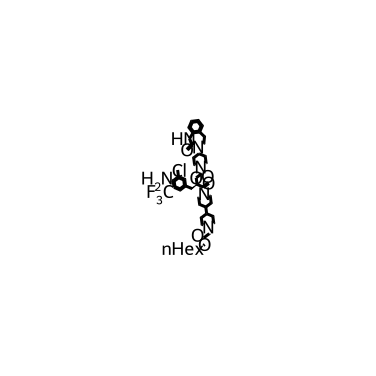 CCCCCCOC(=O)CN1CCC(C2CCN(C(=O)[C@@H](Cc3cc(Cl)c(N)c(C(F)(F)F)c3)OC(=O)N3CCC(N4CCc5ccccc5NC4=O)CC3)CC2)CC1